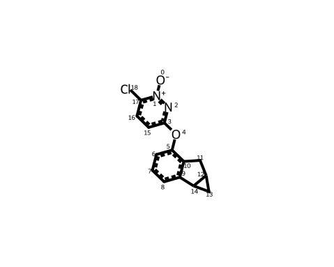 [O-][n+]1nc(Oc2cccc3c2CC2CC32)ccc1Cl